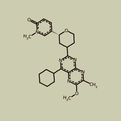 COc1nc2c(C3CCCCC3)nc(C3CCO[C@@H](c4ccc(=O)n(C)c4)C3)nc2nc1C